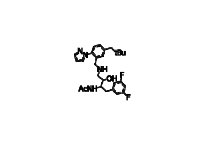 CC(=O)NC(Cc1cc(F)cc(F)c1)C(O)CNCc1cc(CC(C)(C)C)ccc1-n1cccn1